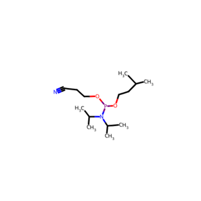 CC(C)CCOP(OCCC#N)N(C(C)C)C(C)C